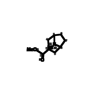 COC(=O)C1CC2CCC(C1)N2C#N